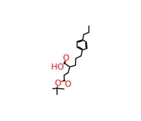 CCCc1ccc(CCCC(CCC(=O)OC(C)(C)C)C(=O)O)cc1